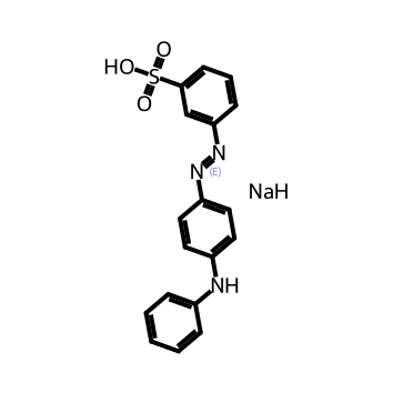 O=S(=O)(O)c1cccc(/N=N/c2ccc(Nc3ccccc3)cc2)c1.[NaH]